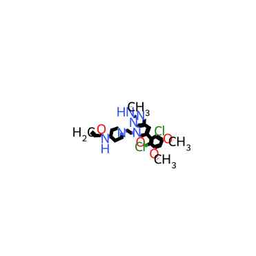 C=CC(=O)NC1CCN(CCn2c(=O)c(-c3c(Cl)c(OC)cc(OC)c3Cl)cc3cnc(NC)nc32)CC1